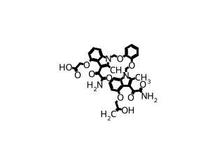 C=C(O)COc1cccc2c1c(C(=O)C(N)=O)c(C)n2COc1ccccc1OCn1c(C)c(C(=O)C(N)=O)c2c(OCC(=O)O)cccc21